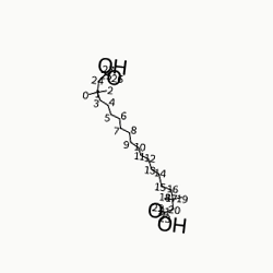 CC(C)(CCCCCCCCCCCCCCC(C)(C)CC(=O)O)CC(=O)O